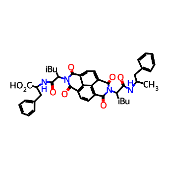 CCC(C)C(C(=O)NC(C)Cc1ccccc1)N1C(=O)c2ccc3c4c(ccc(c24)C1=O)C(=O)N(C(C(=O)NC(Cc1ccccc1)C(=O)O)C(C)CC)C3=O